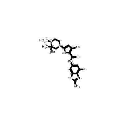 Cc1nc2c(F)cc(NC(=O)c3sc(N4CCN(C(=O)O)C(C)(C(C)(C)C)C4)cc3F)cc2o1